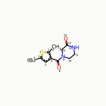 Cc1sc(C(C)(C)C)cc1C(=O)N1CCNC(=O)C1